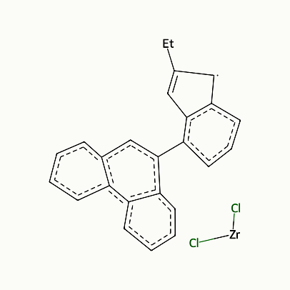 CCC1=Cc2c(cccc2-c2cc3ccccc3c3ccccc23)[CH]1.[Cl][Zr][Cl]